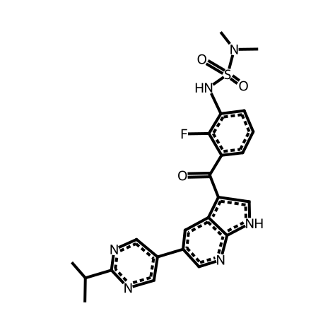 CC(C)c1ncc(-c2cnc3[nH]cc(C(=O)c4cccc(NS(=O)(=O)N(C)C)c4F)c3c2)cn1